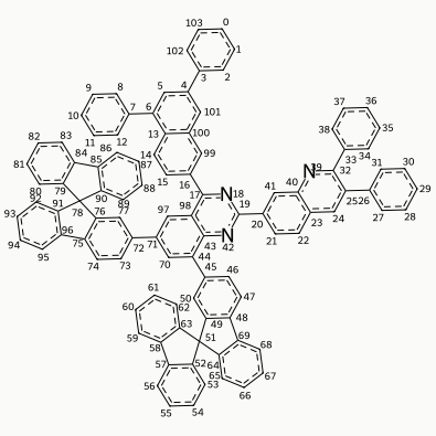 c1ccc(-c2cc(-c3ccccc3)c3ccc(-c4nc(-c5ccc6cc(-c7ccccc7)c(-c7ccccc7)nc6c5)nc5c(-c6ccc7c(c6)C6(c8ccccc8-c8ccccc86)c6ccccc6-7)cc(-c6ccc7c(c6)C6(c8ccccc8-c8ccccc86)c6ccccc6-7)cc45)cc3c2)cc1